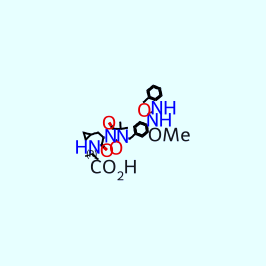 COc1cc(CN2C(=O)N(C(CC3CC3)C(=O)N[C@H](C)CC(=O)O)C(=O)C2(C)C)ccc1NC(=O)Nc1ccccc1C